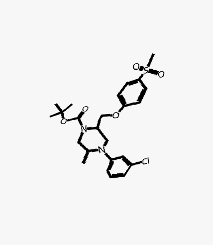 CC1CN(C(=O)OC(C)(C)C)C(COc2ccc(S(C)(=O)=O)cc2)CN1c1cccc(Cl)c1